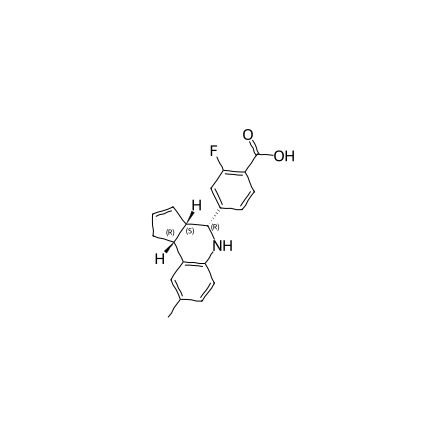 Cc1ccc2c(c1)[C@@H]1CC=C[C@@H]1[C@H](c1ccc(C(=O)O)c(F)c1)N2